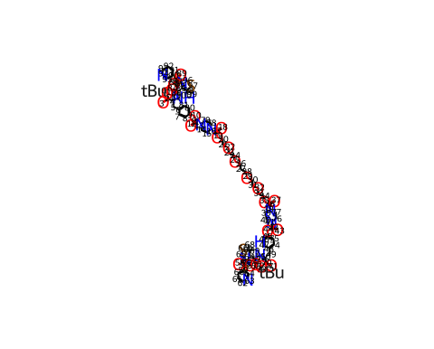 CC(C)(C)OC(=O)[C@H](Cc1ccc(OC(=O)N2CCN(C(=O)OCCOCCOCCCOCCOCCOC(=O)N3CCN(C(=O)Oc4ccc(C[C@H](NC(=O)[C@H]5N(S(=O)(=O)c6cccnc6)CSC5(C)C)C(=O)OC(C)(C)C)cc4)CC3)CC2)cc1)NC(=O)[C@H]1N(S(=O)(=O)c2cccnc2)CSC1(C)C